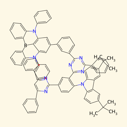 CC(C)(C)c1ccc2c(c1)c1cc(C(C)(C)C)ccc1n2-c1ccc(-c2nc(-c3ccccc3)cc(-c3ccccc3)n2)cc1-c1nc(-c2ccccc2)nc(-c2cccc(-c3cc4c5c(c3)N(c3ccccc3)c3ccccc3B5c3ccccc3N4c3ccccc3)c2)n1